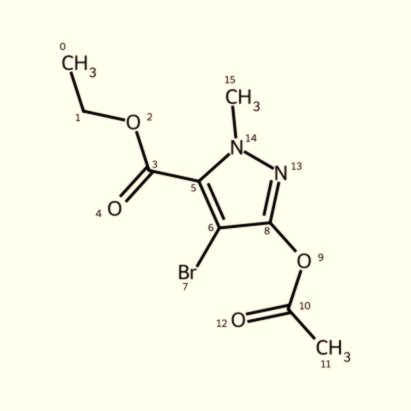 CCOC(=O)c1c(Br)c(OC(C)=O)nn1C